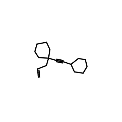 C=CCC1(C#CC2CCCCC2)CCCCC1